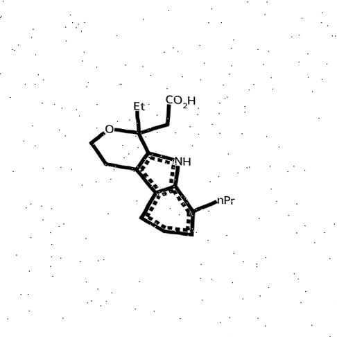 CCCc1cccc2c3c([nH]c12)C(CC)(CC(=O)O)OCC3